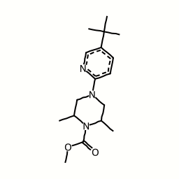 COC(=O)N1C(C)CN(c2ccc(C(C)(C)C)cn2)CC1C